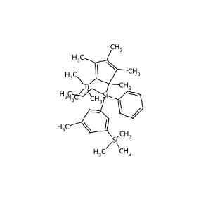 CCC[Si](c1ccccc1)(c1cc(C)cc([Si](C)(C)C)c1)C1(C)C(C)=C(C)C(C)=[C]1[Ti]([CH3])([CH3])[CH3]